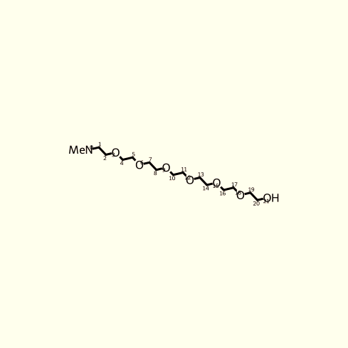 CNCCOCCOCCOCCOCCOCCOCCO